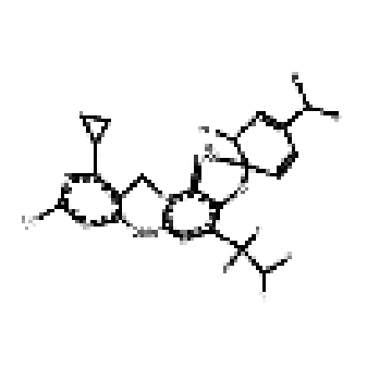 COc1nc(C)nc(C2CC2)c1Cn1cnc(C(F)(F)C(F)F)c(OC2(C)C=CC(C(F)F)=CC2C#N)c1=O